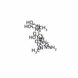 CO/N=C(\C(=O)N[C@@H]1C(=O)N2C(C(=O)O)=C(CSC3(C)N=c4cc(O)c(O)cc4=N3)CS[C@H]12)c1csc(N)n1